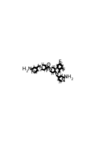 Nc1cc(CN2CCC(F)(C(=O)N3CCC(N(Cc4ccnc(N)c4)Cc4ccc(F)cc4F)CC3)CC2)ccn1